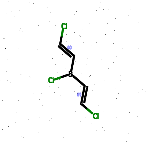 Cl/C=C/B(Cl)/C=C/Cl